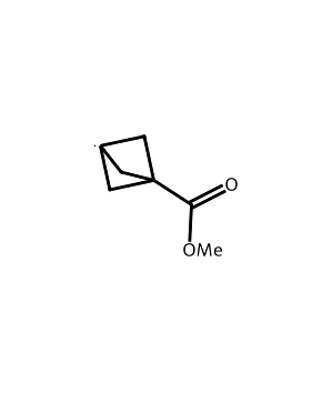 COC(=O)C12C[C](C1)C2